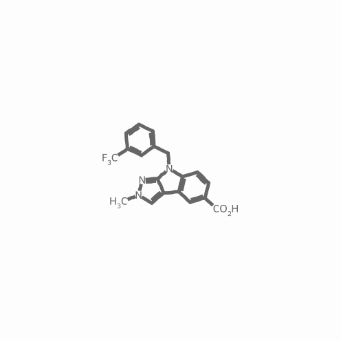 Cn1cc2c3cc(C(=O)O)ccc3n(Cc3cccc(C(F)(F)F)c3)c2n1